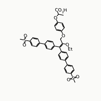 CCOC(COc1ccc(OC(C)C(=O)O)cc1)=C(c1ccc(-c2ccc(S(C)(=O)=O)cc2)cc1)c1ccc(-c2ccc(S(C)(=O)=O)cc2)cc1